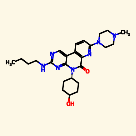 CCCCNc1ncc2c3ccc(N4CCN(C)CC4)nc3c(=O)n([C@H]3CC[C@H](O)CC3)c2n1